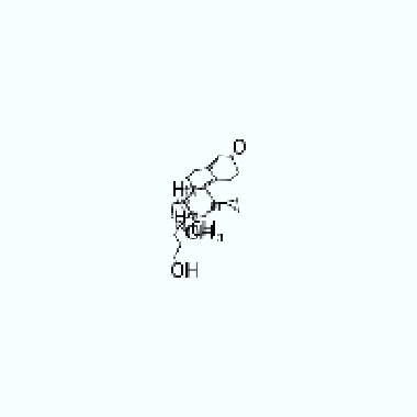 C[C@]12C[C@H](C3CC3)C3=C4CCC(=O)C=C4CC[C@H]3[C@@H]1CC[C@@]2(O)CCCO